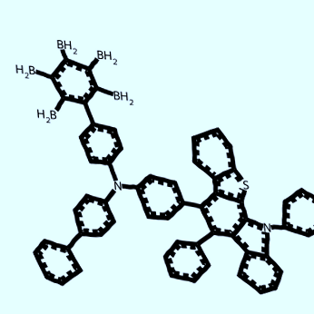 Bc1c(B)c(B)c(-c2ccc(N(c3ccc(-c4ccccc4)cc3)c3ccc(-c4c(-c5ccccc5)c5c6ccccc6n(-c6ccccc6)c5c5sc6ccccc6c45)cc3)cc2)c(B)c1B